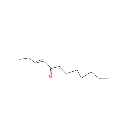 CCC=CC(=O)C=CCCCCC